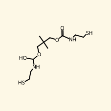 CC(C)(COC(=O)NCCS)COC(O)NCCS